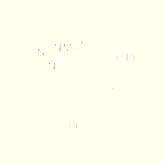 CCCCC(O)c1ccc(Br)cc1/C(=N/N)NC